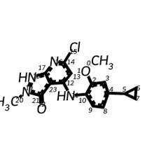 COc1cc(C2CC2)ccc1Nc1cc(Cl)nc2[nH]n(C)c(=O)c12